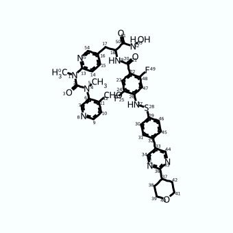 CN(C(=O)N(C)c1cnccc1C=O)c1ccc(CC(NC(=O)c2cc(F)c(NSc3ccc(-c4cnc(C5CCOCC5)nc4)cc3)cc2F)C(=O)NO)cn1